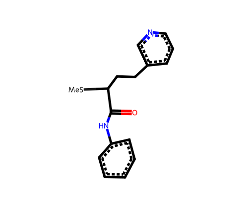 CSC(CCc1cccnc1)C(=O)Nc1ccccc1